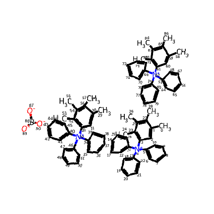 Cc1cc([N+](c2ccccc2)(c2ccccc2)c2ccccc2)c(C)c(C)c1C.Cc1cc([N+](c2ccccc2)(c2ccccc2)c2ccccc2)c(C)c(C)c1C.Cc1cc([N+](c2ccccc2)(c2ccccc2)c2ccccc2)c(C)c(C)c1C.[O-]B([O-])[O-]